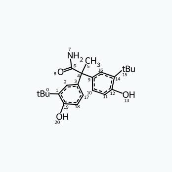 CC(C)(C)c1cc(C(C)(C(N)=O)c2ccc(O)c(C(C)(C)C)c2)ccc1O